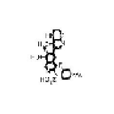 CC(=O)N1CC[C@H](N(C(=O)O)c2cc3cc(-c4cnc5c(c4C)NCCO5)c(F)c(N)c3cn2)[C@H](F)C1